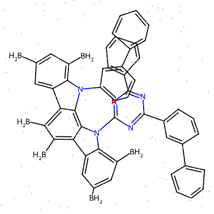 Bc1cc(B)c2c(c1)c1c(B)c(B)c3c4cc(B)cc(B)c4n(-c4nc(-c5ccccc5)nc(-c5cccc(-c6ccccc6)c5)n4)c3c1n2-c1cccc(-c2ccccc2)c1